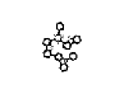 c1ccc(-c2nc(-c3cccc4c3oc3c(-c5ccc6c(c5)c5ccccc5n6-c5ccccc5)cccc34)nc(-c3cccc4c3sc3ccccc34)n2)cc1